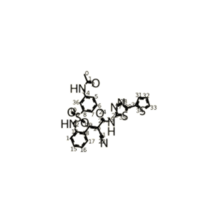 CC(=O)Nc1cccc(S(=O)(=O)Nc2ccccc2/C=C(\C#N)C(=O)Nc2nnc(-c3cccs3)s2)c1